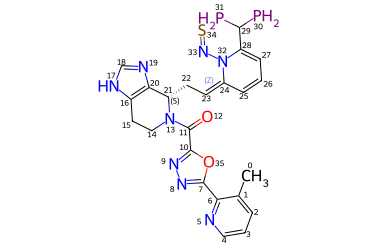 Cc1cccnc1-c1nnc(C(=O)N2CCc3[nH]cnc3[C@@H]2C/C=C2/C=CC=C(C(P)P)N2N=S)o1